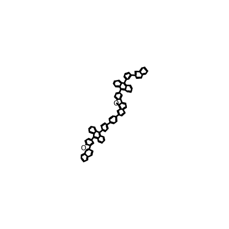 c1cc(-c2ccc3ccccc3c2)cc(-c2c3ccccc3c(-c3ccc4oc5c6cc(-c7ccc(-c8ccc(-c9c%10ccccc%10c(-c%10ccc%11oc%12c%13ccccc%13ccc%12c%11c%10)c%10ccccc9%10)cc8)cc7)ccc6ccc5c4c3)c3ccccc23)c1